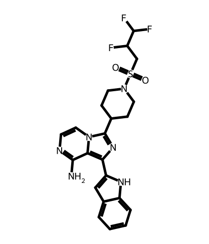 Nc1nccn2c(C3CCN(S(=O)(=O)CC(F)C(F)F)CC3)nc(-c3cc4ccccc4[nH]3)c12